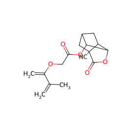 C=C(C)C(=C)OCC(=O)OC1C2CC3C1OC(=O)C3(C#N)C2